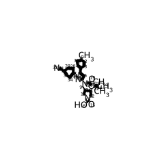 Cc1ccc(-c2cc(N(C[C@H]3CCN(C(=O)O)C3)C(=O)OC(C)(C)C)nn2-c2ccc(C#N)cc2)cc1